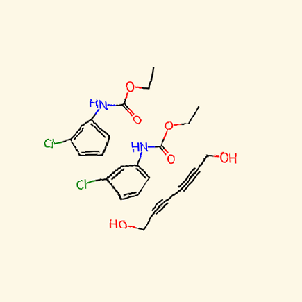 CCOC(=O)Nc1cccc(Cl)c1.CCOC(=O)Nc1cccc(Cl)c1.OCC#CC#CCO